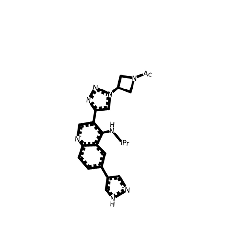 CC(=O)N1CC(n2cc(-c3cnc4ccc(-c5cn[nH]c5)cc4c3NC(C)C)nn2)C1